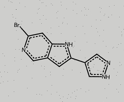 Brc1cc2[nH]c(-c3cn[nH]c3)cc2cn1